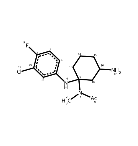 CC(=O)N(C)C1(Nc2ccc(F)c(Cl)c2)CCCC(N)C1